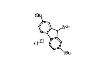 CC(C)(C)c1ccc2c(c1)[CH]([Zr+3])c1cc(C(C)(C)C)ccc1-2.[Cl-].[Cl-]